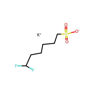 O=S(=O)([O-])CCCCCC(F)F.[K+]